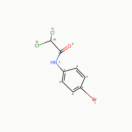 O=C(Nc1ccc(Br)cc1)C(Cl)Cl